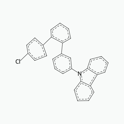 Clc1ccc(-c2ccccc2-c2cccc(-n3c4ccccc4c4ccccc43)c2)cc1